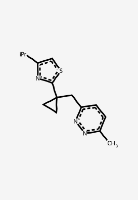 Cc1ccc(CC2(c3nc(C(C)C)cs3)CC2)nn1